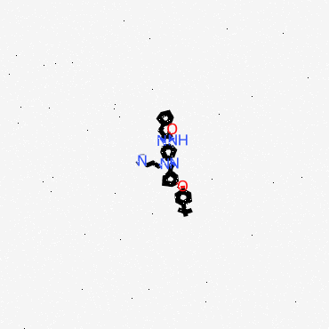 CN(C)CCCn1c(-c2cccc(Oc3ccc(C(C)(C)C)cc3)c2)nc2cc3[nH]c(=O)c(Cc4ccccc4)nc3cc21